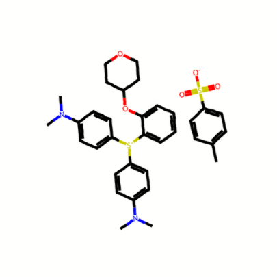 CN(C)c1ccc([S+](c2ccc(N(C)C)cc2)c2ccccc2OC2CCOCC2)cc1.Cc1ccc(S(=O)(=O)[O-])cc1